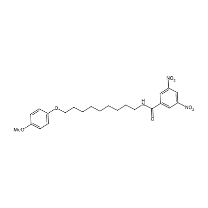 COc1ccc(OCCCCCCCCCNC(=O)c2cc([N+](=O)[O-])cc([N+](=O)[O-])c2)cc1